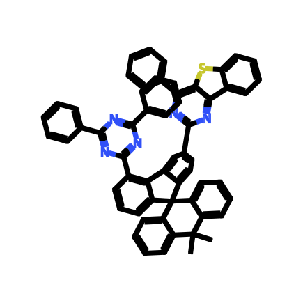 CC1(C)c2ccccc2C2(c3ccc(-c4nc(-c5ccccc5)c5sc6ccccc6c5n4)cc3-c3c(-c4nc(-c5ccccc5)nc(-c5ccccc5)n4)cccc32)c2ccccc21